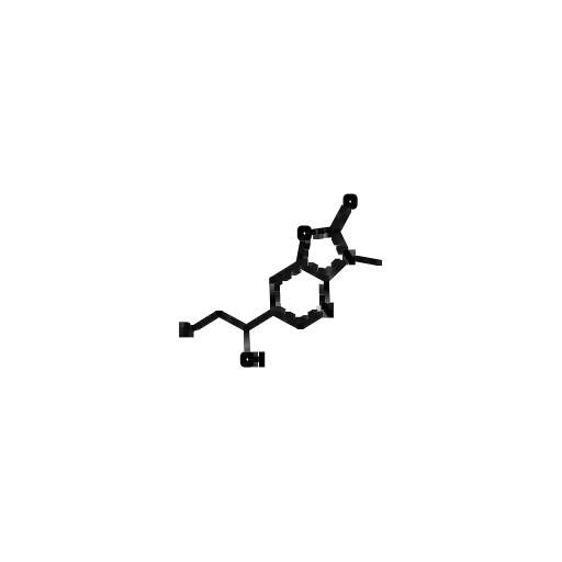 Cn1c(=O)oc2cc(C(O)CBr)cnc21